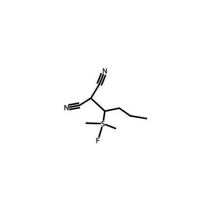 CCCC(C(C#N)C#N)S(C)(C)F